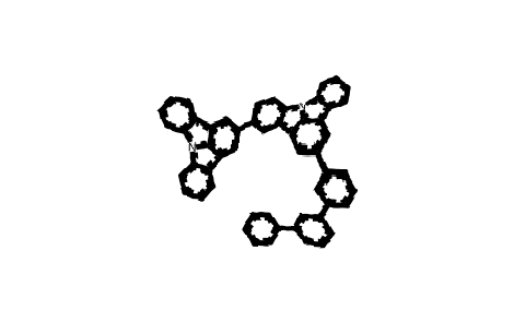 c1ccc(-c2cccc(-c3cccc(-c4cc5c6ccccc6n6c7ccc(-c8cc9c%10ccccc%10n%10c%11ccccc%11c(c8)c9%10)cc7c(c4)c56)c3)c2)cc1